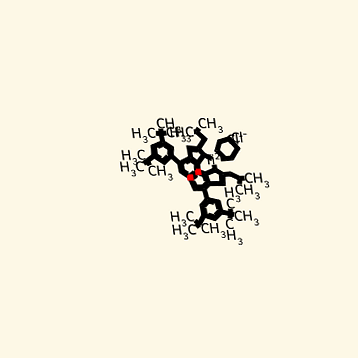 CC(C)CC1=Cc2c(-c3cc(C(C)(C)C)cc(C(C)(C)C)c3)cccc2[CH]1[Ti+2]1([CH]2C(CC(C)C)=Cc3c(-c4cc(C(C)(C)C)cc(C(C)(C)C)c4)cccc32)[CH]2CCCC[CH]21.[Cl-].[Cl-]